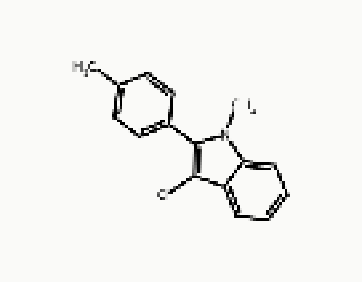 Cc1ccc(-c2c(Cl)c3ccccc3n2C)cc1